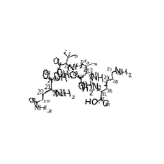 CC(C)C(N)C(=O)O.CC(C)[C@H](N)C(=O)O.NC(=O)CC[C@H](N)C(=O)O.NCCCC[C@H](N)C(=O)O